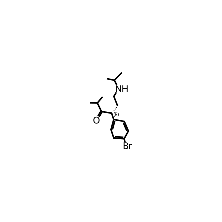 CC(C)NCC[C@@H](C(=O)C(C)C)c1ccc(Br)cc1